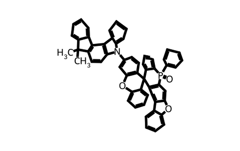 CC1(C)c2ccccc2-c2c1ccc1c2c2ccccc2n1-c1ccc2c(c1)Oc1ccccc1C21c2ccccc2P(=O)(c2ccccc2)c2cc3oc4ccccc4c3cc21